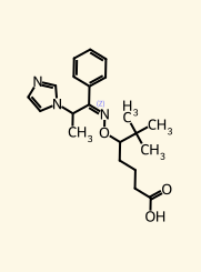 CC(/C(=N\OC(CCCC(=O)O)C(C)(C)C)c1ccccc1)n1ccnc1